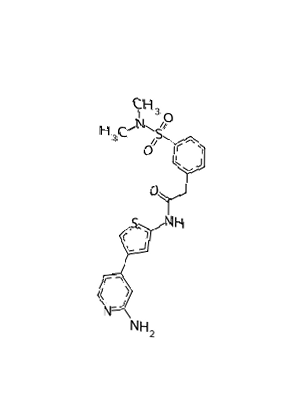 CN(C)S(=O)(=O)c1cccc(CC(=O)Nc2cc(-c3ccnc(N)c3)cs2)c1